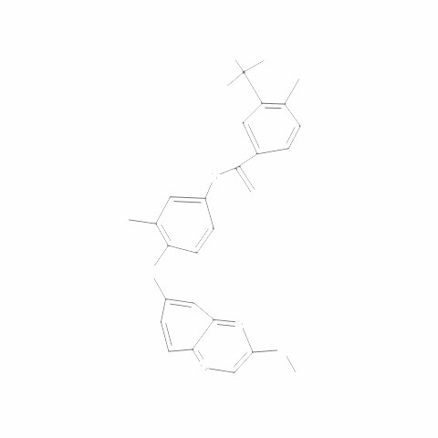 COc1cnc2ccc(Oc3ccc(NC(=O)c4ccc(Cl)c(C(F)(F)F)c4)cc3F)cc2n1